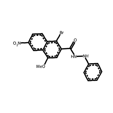 COc1cc(C(=O)NNc2ccccc2)c(Br)c2ccc([N+](=O)[O-])cc12